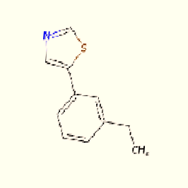 CCc1cccc(-c2cncs2)c1